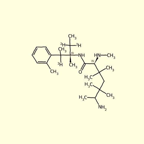 [2H]C([2H])(C)[C@](C)(NC(=O)[C@@H](NC)C(C)(C)CC(C)(C)C(C)N)C([2H])(C)c1ccccc1C